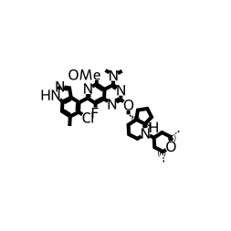 COc1nc(-c2c(Cl)c(C)cc3[nH]ncc23)c(F)c2nc(OC[C@]34CCC[C@H]3N(C3C[C@@H](C)O[C@@H](C)C3)CCC4)nc(N(C)C)c12